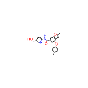 Cc1ccc(Oc2cc(C(=O)Nc3ccc(CO)cn3)cc3oc(C)cc23)cc1